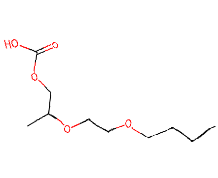 CCCCOCCOC(C)COC(=O)O